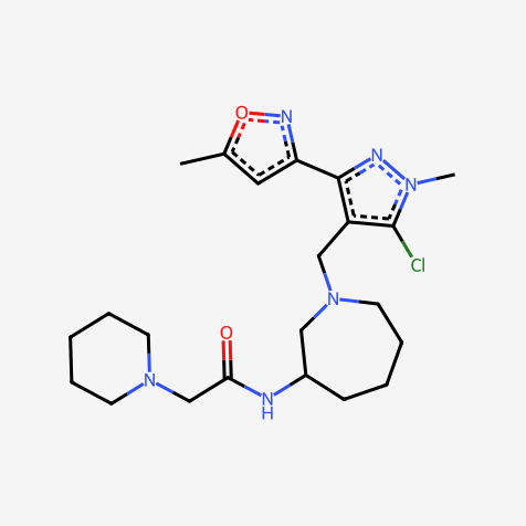 Cc1cc(-c2nn(C)c(Cl)c2CN2CCCCC(NC(=O)CN3CCCCC3)C2)no1